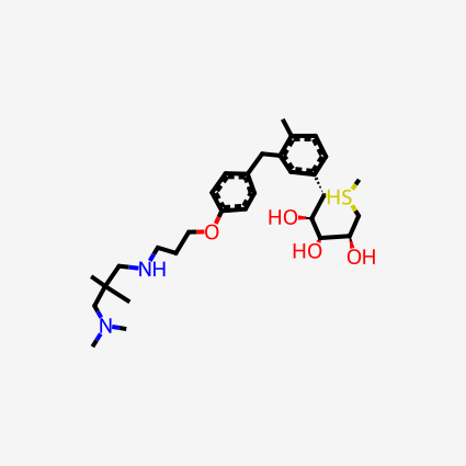 Cc1ccc([C@H]2[C@H](O)[C@H](O)[C@H](O)C[SH]2C)cc1Cc1ccc(OCCCNCC(C)(C)CN(C)C)cc1